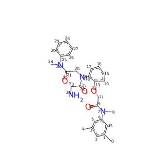 Cc1cc(C)cc(N(C)C(=O)COc2ccccc2N(CC(=O)N(C)c2ccccc2)C(=O)CN)c1